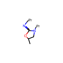 CC(C)N=C1OC(C)CN1C(C)C